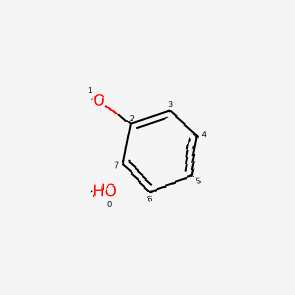 [OH].[O]c1ccccc1